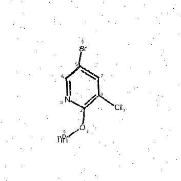 CCCOc1ncc(Br)cc1Cl